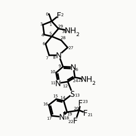 CC1(F)CCC2(CCN(c3cnc(Sc4cccnc4C(F)(F)F)c(N)n3)CC2)C1N